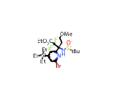 CCOC(=O)C(F)(F)[C@](CCOC)(N[S+]([O-])C(C)(C)C)c1nc(Br)cc([Si](CC)(CC)CC)c1F